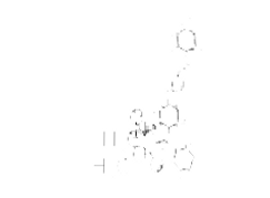 CCOC(=O)C1=C(c2ccccc2)c2ccc(COCCc3ccccc3)cc2/C1=[N+](/C)[O-]